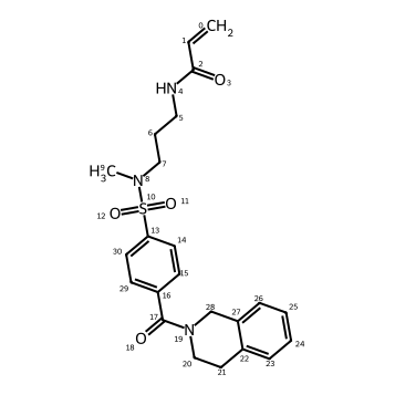 C=CC(=O)NCCCN(C)S(=O)(=O)c1ccc(C(=O)N2CCc3ccccc3C2)cc1